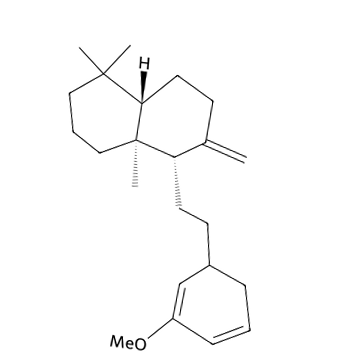 C=C1CC[C@H]2C(C)(C)CCC[C@]2(C)[C@H]1CCC1C=C(OC)C=CC1